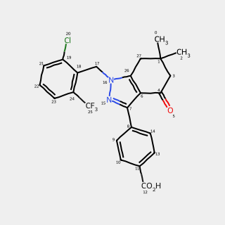 CC1(C)CC(=O)c2c(-c3ccc(C(=O)O)cc3)nn(Cc3c(Cl)cccc3C(F)(F)F)c2C1